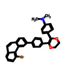 CN(C)c1ccc(C2=C(c3ccc(-c4ccc5ccc6cccc(Br)c6c5c4)cc3)OCCO2)cc1